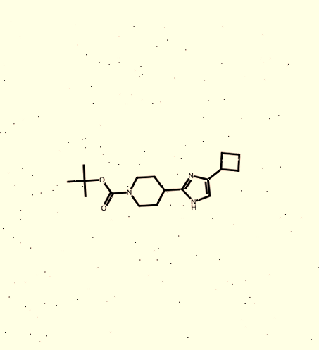 CC(C)(C)OC(=O)N1CCC(c2nc(C3CCC3)c[nH]2)CC1